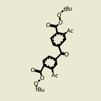 CC(=O)c1cc(C(=O)c2ccc(C(=O)OOC(C)(C)C)c(C(C)=O)c2)ccc1C(=O)OOC(C)(C)C